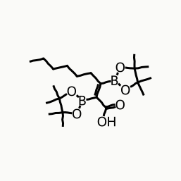 CCCCCCC(B1OC(C)(C)C(C)(C)O1)=C(B1OC(C)(C)C(C)(C)O1)C(=O)O